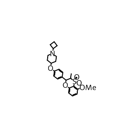 COc1cccc2c1S(=O)(=O)C(C)C(c1ccc(OC3CCN(C4CCC4)CC3)cc1)O2